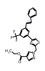 CCOC(=O)c1cnn(Cc2nc(-c3cc(/C=C/c4ccccc4)cc(C(F)(F)F)c3)cs2)c1